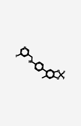 Cc1cc2c(cc1-c1ccc(NCc3cncc(F)c3)cc1)OC(F)(F)O2